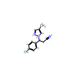 Cc1cnn(C(CC#N)c2ccc(Cl)cc2)c1